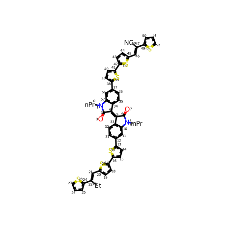 CCCN1C(=O)/C(=C2/C(=O)N(CCC)c3cc(-c4ccc(-c5ccc(/C=C(\CC)c6cccs6)s5)s4)ccc32)c2ccc(-c3ccc(-c4ccc(/C=C(\C#N)c5cccs5)s4)s3)cc21